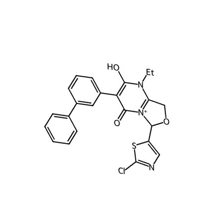 CCn1c(O)c(-c2cccc(-c3ccccc3)c2)c(=O)[n+]2c1COC2c1cnc(Cl)s1